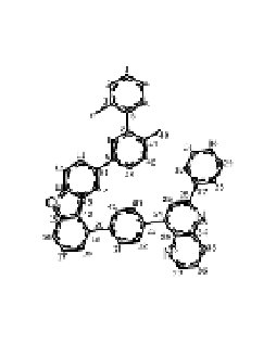 Cc1ccccc1-c1cc(-c2ccc3oc4cccc(-c5ccc(-c6cc(-c7ccccc7)nc7cccnc67)cc5)c4c3c2)ccc1C